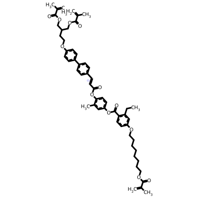 C=C(C)C(=O)OCCCCCCCCOc1ccc(C(=O)Oc2ccc(OC(=O)/C=C/c3ccc(-c4ccc(OCCC(COC(=O)C(=C)C)COC(=O)C(=C)C)cc4)cc3)c(C)c2)c(CC)c1